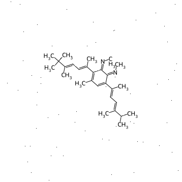 C/N=C1/C(/C(C)=C/C=C(\C)C(C)C)=CC(C)=C(/C(C)=C/C=C(\C)C(C)(C)C)/C1=N/C